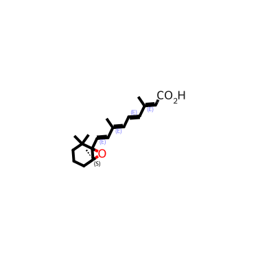 CC(/C=C/C12O[C@@]1(C)CCCC2(C)C)=C\C=C\C(C)=C\C(=O)O